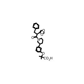 CC(C)(Oc1cccc(C2CCCN(C(=O)C(Cc3ccccc3)C3=COCO3)C2)c1)C(=O)O